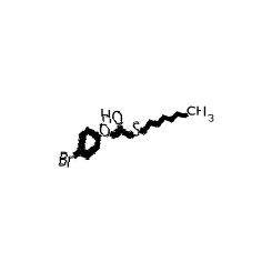 CCCCCCCCSCC(O)COc1ccc(Br)cc1